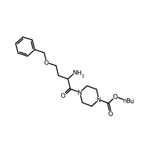 CCCCOC(=O)N1CCN(C(=O)C(N)CCOCc2ccccc2)CC1